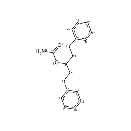 NC(=O)OC(CCc1ccccc1)CCc1ccccc1